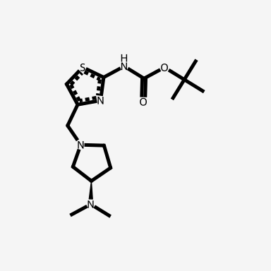 CN(C)[C@@H]1CCN(Cc2csc(NC(=O)OC(C)(C)C)n2)C1